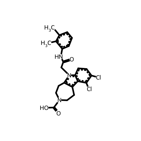 Cc1cccc(NC(=O)Cn2c3c(c4c(Cl)c(Cl)ccc42)CCN(C(=O)O)CC3)c1C